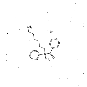 CCCCCCC[N+](C)(C(=O)c1ccccc1)c1ccccc1.[Br-]